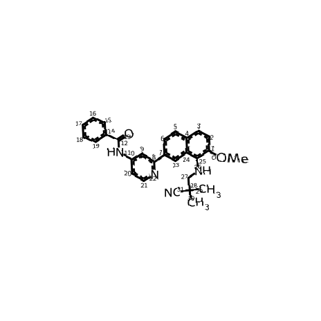 COc1ccc2ccc(-c3cc(NC(=O)c4ccccc4)ccn3)cc2c1NCC(C)(C)C#N